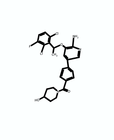 CC(Oc1cc(-c2ccc(C(=O)N3CCC(O)CC3)cc2)cnc1N)c1c(Cl)ccc(F)c1Cl